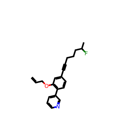 C=CCOc1cc(C#CCCCC(C)F)ccc1-c1cccnc1